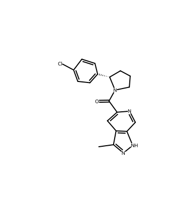 Cc1n[nH]c2cnc(C(=O)N3CCC[C@H]3c3ccc(Cl)cc3)cc12